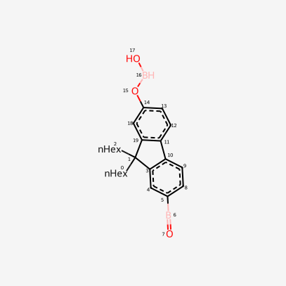 CCCCCCC1(CCCCCC)c2cc(B=O)ccc2-c2ccc(OBO)cc21